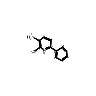 Nc1ccc(-c2ccccc2)nc1Cl